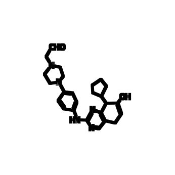 O=CCN1CCN(c2ccc(Nc3ncc4c(n3)C(C3CCCC3)C(O)=CC4)cc2)CC1